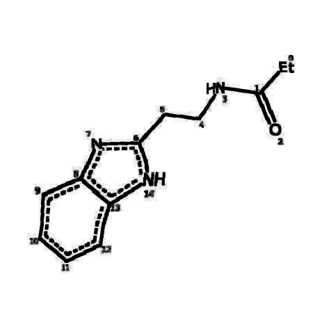 CCC(=O)NCCc1nc2ccccc2[nH]1